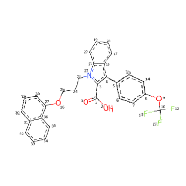 O=C(O)c1c(-c2ccc(OC(F)(F)F)cc2)c2ccccc2n1CCCOc1cccc2ccccc12